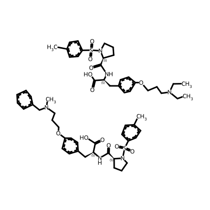 CCN(CC)CCCOc1ccc(C[C@H](NC(=O)[C@@H]2CCCN2S(=O)(=O)c2ccc(C)cc2)C(=O)O)cc1.Cc1ccc(S(=O)(=O)N2CCC[C@H]2C(=O)N[C@@H](Cc2ccc(OCCCN(C)Cc3ccccc3)cc2)C(=O)O)cc1